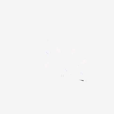 CN1C(=O)c2c(OCc3ccccc3)c(=O)c(C(=O)NCc3c(F)cc(F)cc3F)cn2[C@@H]2CCCC[C@H]21